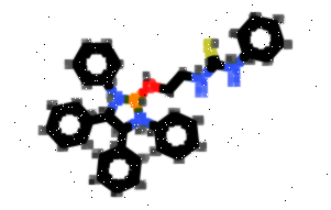 S=C(NCCOP1N(c2ccccc2)C(c2ccccc2)C(c2ccccc2)N1c1ccccc1)Nc1ccccc1